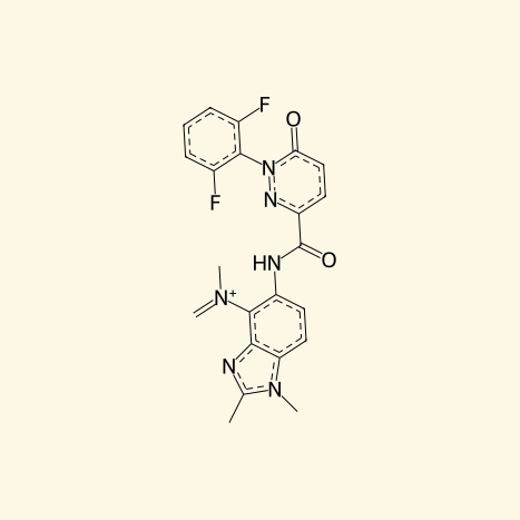 C=[N+](C)c1c(NC(=O)c2ccc(=O)n(-c3c(F)cccc3F)n2)ccc2c1nc(C)n2C